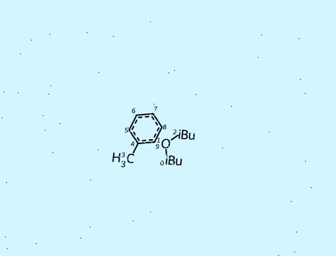 CCC(C)OC(C)CC.Cc1ccccc1